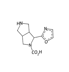 O=C(O)N1CC2CNCC2C1c1ncco1